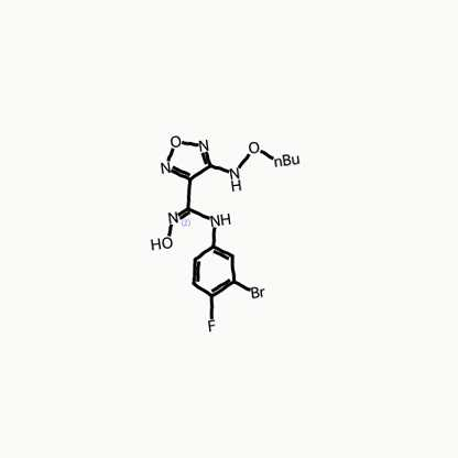 CCCCONc1nonc1/C(=N/O)Nc1ccc(F)c(Br)c1